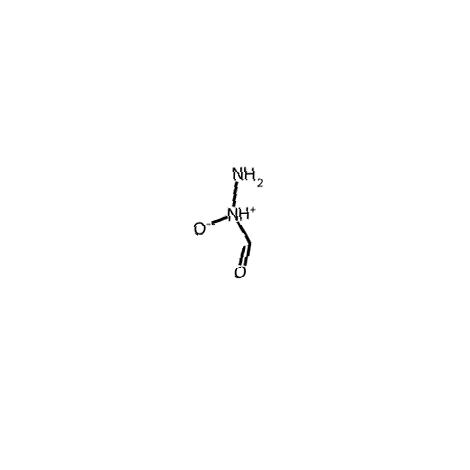 N[NH+]([O-])C=O